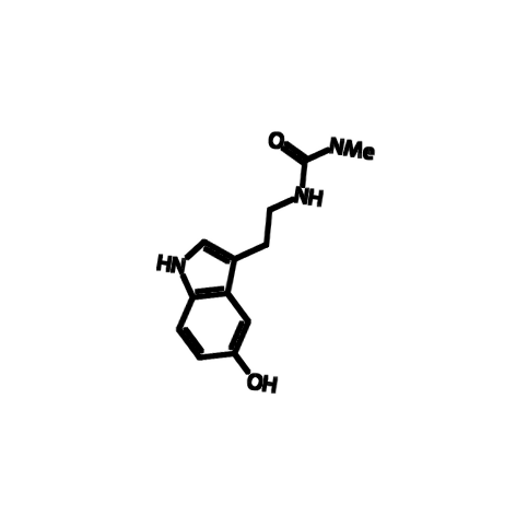 CNC(=O)NCCc1c[nH]c2ccc(O)cc12